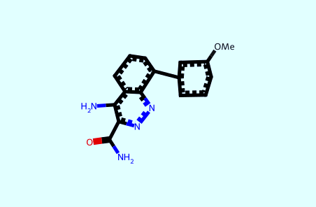 COc1cccc(-c2cccc3c(N)c(C(N)=O)nnc23)c1